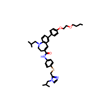 CCCCOCCOc1ccc(-c2ccc3c(c2)C=C(C(=O)Nc2ccc(SCc4nccn4CC(C)C)cc2)CCN3CC(C)C)cc1